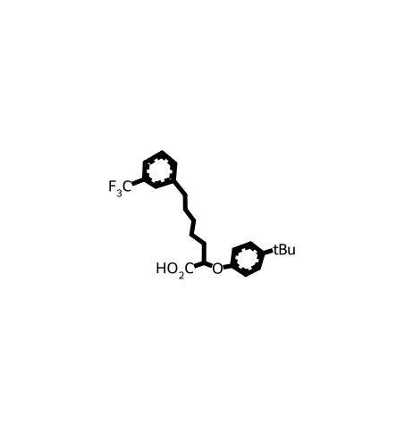 CC(C)(C)c1ccc(OC(CCCCCc2cccc(C(F)(F)F)c2)C(=O)O)cc1